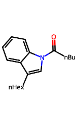 CCCCCCc1cn(C(=O)CCCC)c2ccccc12